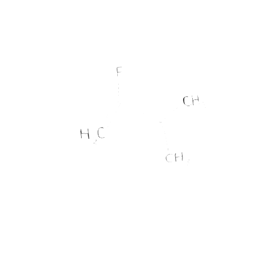 C=C(F)C(C)C